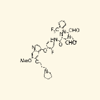 C=CCN1C(C=O)C(C(=O)Nc2ccc(Oc3ccnc4cc(OC)c(OCCCN5CCCCC5)cc34)c(F)c2)=NN(c2ccccc2C(F)(F)F)C1C=O